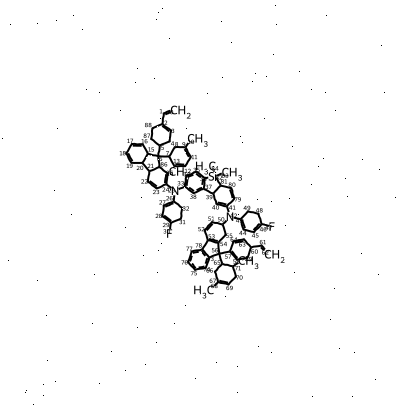 C=CC1=CCC(C2(C3CC(C)=CC=C3C)C3C=CC=CC3C3C=CC(N(C4=CC=C(F)CC4)c4ccc5c(c4)C4C=C(N(C6=CC=C(F)CC6)C6C=CC7=C(C6)C(C6=CCC(C=C)C=C6)(C6CC(C)=CCC6C)c6ccccc67)C=CC4[Si]5(C)C)=CC32)CC1